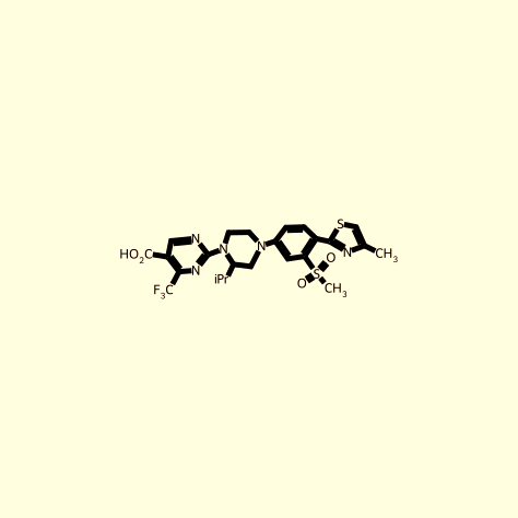 Cc1csc(-c2ccc(N3CCN(c4ncc(C(=O)O)c(C(F)(F)F)n4)C(C(C)C)C3)cc2S(C)(=O)=O)n1